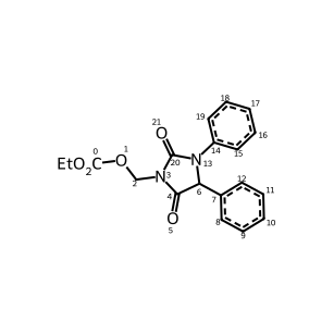 CCOC(=O)OCN1C(=O)C(c2ccccc2)N(c2ccccc2)C1=O